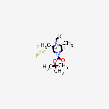 C[C@@H]1CN(C(=O)OC(C)(C)C)C[C@H](C)N1[CH2][K].FB(F)F